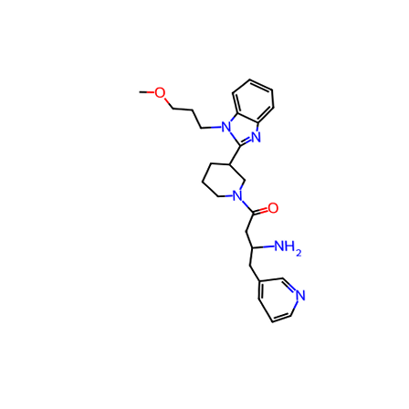 COCCCn1c(C2CCCN(C(=O)CC(N)Cc3cccnc3)C2)nc2ccccc21